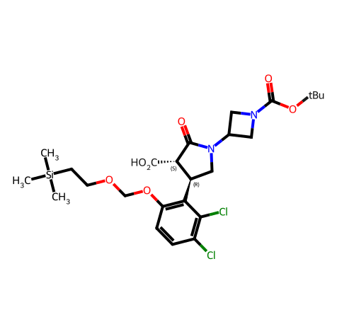 CC(C)(C)OC(=O)N1CC(N2C[C@@H](c3c(OCOCC[Si](C)(C)C)ccc(Cl)c3Cl)[C@H](C(=O)O)C2=O)C1